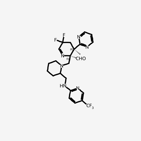 C[C@@]1(c2ncccn2)CC(F)(F)C=N[C@]1(C=O)CN1CCCCC1CNc1ccc(C(F)(F)F)cn1